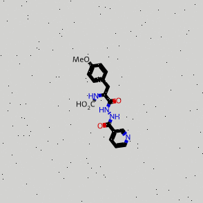 COc1ccc(CC(NC(=O)O)C(=O)NNC(=O)c2cccnc2)cc1